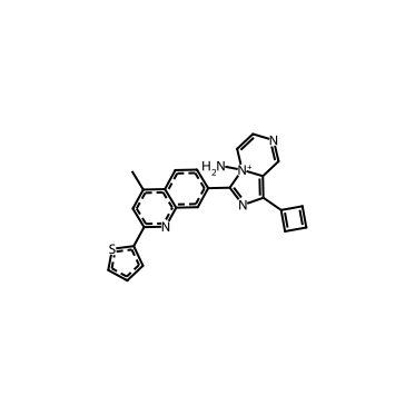 Cc1cc(-c2cccs2)nc2cc(C3=NC(C4=CC=C4)=C4C=NC=C[N+]34N)ccc12